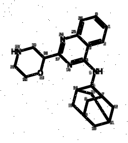 c1ccc2c(NC3C4CC5CC(C4)CC3C5)nc(C3CNCCO3)nc2c1